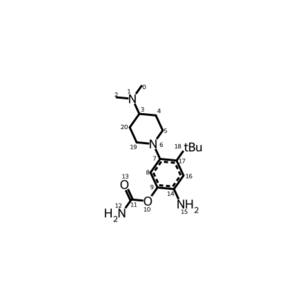 CN(C)C1CCN(c2cc(OC(N)=O)c(N)cc2C(C)(C)C)CC1